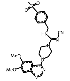 COc1cc2ncnc(N3CCN(/C(=N/C#N)NCc4ccc(S(C)(=O)=O)cc4)CC3)c2cc1OC